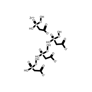 O=C([O-])CP(=O)(O)OO.O=C([O-])CP(=O)(O)OO.O=C([O-])CP(=O)(O)OO.O=C([O-])CP(=O)(O)OO.[Zr+4]